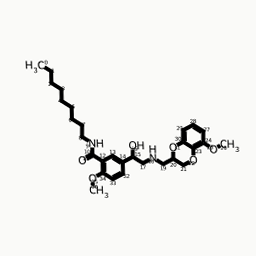 CCCCCCCCCNC(=O)c1cc(C(O)CNCC2COc3c(OC)cccc3O2)ccc1OC